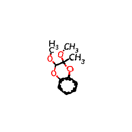 COC1Oc2ccccc2OC1(C)OC